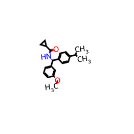 COc1cccc([C@H](NC(=O)C2CC2)c2ccc(C(C)C)cc2)c1